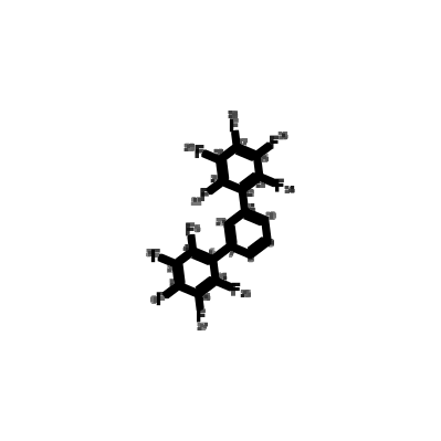 Fc1c(F)c(F)c(-c2c[c]cc(-c3c(F)c(F)c(F)c(F)c3F)c2)c(F)c1F